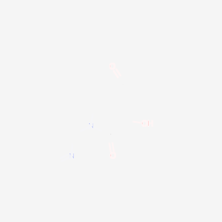 O=C(C1=C(O)C(=O)N(c2ccccn2)C1c1ccccc1)c1ccccc1